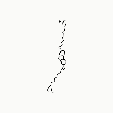 CCCCCCCCCCOc1ccc2c(c1)Cc1cc(OCCCCCCCCCC)ccc1-2